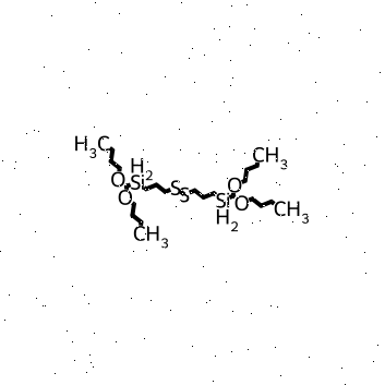 CCCCOC(OCCCC)[SiH2]CCCSSCCC[SiH2]C(OCCCC)OCCCC